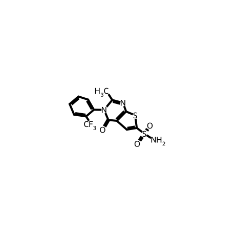 Cc1nc2sc(S(N)(=O)=O)cc2c(=O)n1-c1ccccc1C(F)(F)F